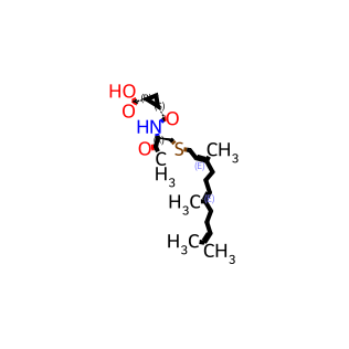 CC(=O)[C@H](CSC/C=C(\C)CC/C=C(\C)CCC=C(C)C)NC(=O)[C@H]1C[C@H]1C(=O)O